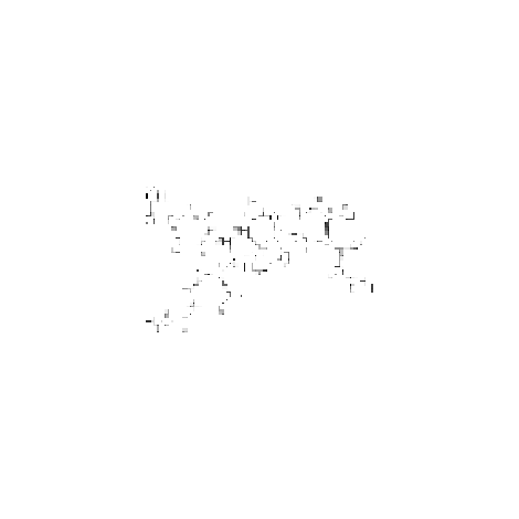 COC(=O)c1cc(C(OC)(OC)c2cc(-c3ccc(OC)cc3)n(-c3ccc(OC)cc3)n2)ccc1Cl